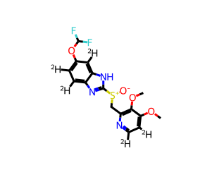 [2H]c1nc(C[S+]([O-])c2nc3c([2H])c([2H])c(OC(F)F)c([2H])c3[nH]2)c(OC)c(OC)c1[2H]